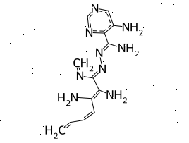 C=C\C=C/C(N)=C(N)/C(N=C)=N/N=C(\N)c1ncncc1N